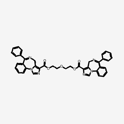 O=C(OCCOCCOC(=O)c1ncn2c1CN=C(c1ccccc1)c1ccccc1-2)c1ncn2c1CN=C(c1ccccc1)c1ccccc1-2